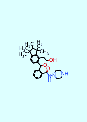 CC1C(C)(C)c2ccc(C(=O)c3ccccc3C(=O)NN3CCNCC3)c(CCO)c2C1(C)C